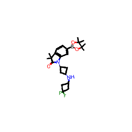 CC1(C)C(=O)N([C@H]2C[C@@H](NC3CC(F)(F)C3)C2)c2cc(B3OC(C)(C)C(C)(C)O3)ccc21